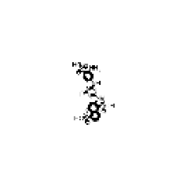 Nc1cc(Nc2nc(F)nc(Nc3ccc4c(S(=O)(=O)O)cccc4c3S(=O)(=O)O)n2)ccc1S(=O)(=O)O